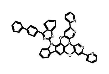 c1ccc(-c2ccc(-c3nc(-n4c5ccccc5c5cc6c7c(c54)Oc4cc(-c5ccccn5)ncc4N7c4cnc(-c5ccccn5)cc4O6)nc4ccccc34)cc2)cc1